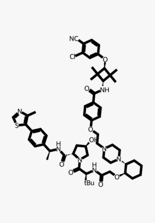 Cc1ncsc1-c1ccc([C@H](C)NC(=O)[C@@H]2C[C@@H](O)CN2C(=O)[C@@H](NC(=O)CO[C@@H]2CCCC[C@H]2N2CCN(CCOc3ccc(C(=O)N[C@H]4C(C)(C)[C@H](Oc5ccc(C#N)c(Cl)c5)C4(C)C)cc3)CC2)C(C)(C)C)cc1